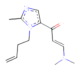 C=CCCn1c(C(=O)C=CN(C)C)cnc1C